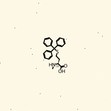 CN[C@@H](CCSC(c1ccccc1)(c1ccccc1)c1ccccc1)C(=O)O